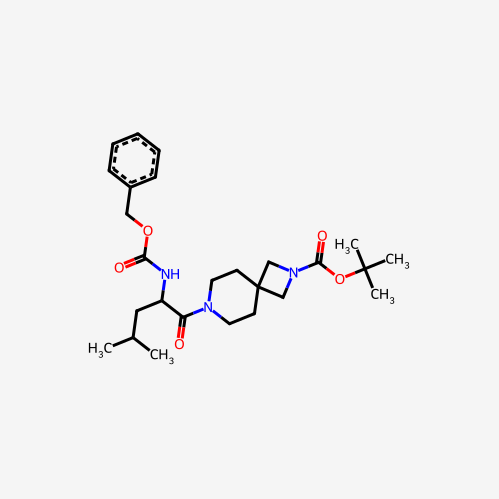 CC(C)CC(NC(=O)OCc1ccccc1)C(=O)N1CCC2(CC1)CN(C(=O)OC(C)(C)C)C2